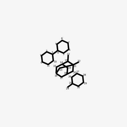 C1CCC(C2CCCCC2)CC1.CC1C2CC3CC(C2)CC1(C)C3.CC1CCCCC1